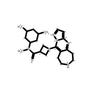 CC1CC(C)CC(N(C)C(=O)C2CN(c3c4c(nc5ccnn35)CCNCC4)C2)C1